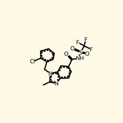 Cc1nc2ccc(C(=O)NS(=O)(=O)C(F)(F)F)cc2n1Cc1ccccc1Cl